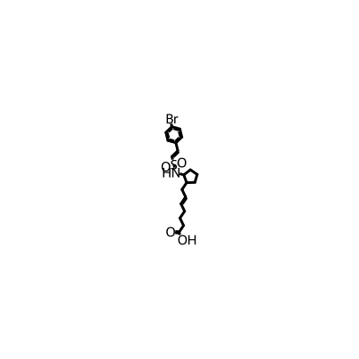 O=C(O)CCCC=CCC1CCCC1NS(=O)(=O)C=Cc1ccc(Br)cc1